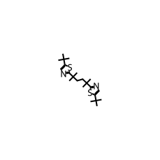 CC(C)(C)c1cnc(C(C)(C)CCC(C)(C)c2ncc(C(C)(C)C)s2)s1